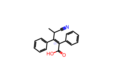 CC(C#N)/C(=C(/C(=O)O)c1ccccc1)c1ccccc1